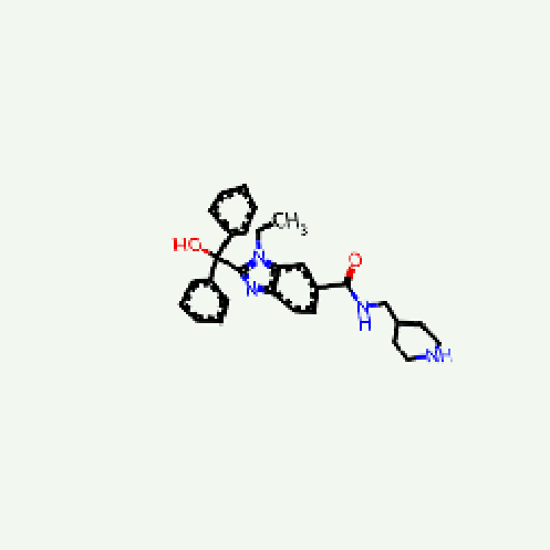 CCn1c(C(O)(c2ccccc2)c2ccccc2)nc2ccc(C(=O)NCC3CCNCC3)cc21